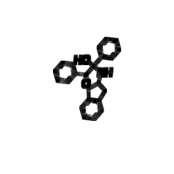 O=C(c1ccccc1)C(O)(NC1Cc2ccccc2C1)c1ccccc1